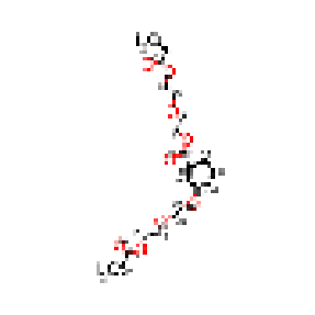 C=CC(=O)OCCOCCOC(=O)c1cccc(OCCOCCOC(=O)C=C)c1